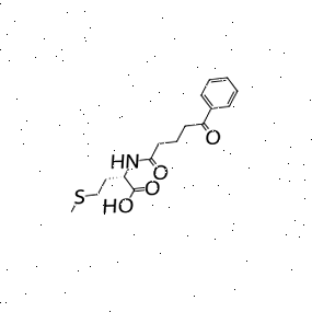 CSCC[C@H](NC(=O)CCCC(=O)c1ccccc1)C(=O)O